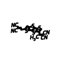 CC(=C(C#N)C#N)c1csc2c1sc1c3sc(CC=C(C#N)C#N)cc3sc21